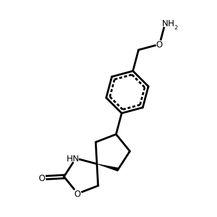 NOCc1ccc(C2CC[C@]3(COC(=O)N3)C2)cc1